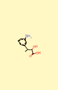 CC(c1cccc(N)c1)C(O)C(=O)O